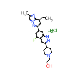 CCc1cc(-c2cc(F)c3cc(C4CCN(CCO)CC4)nnc3c2)nn2cc(C)nc12.Cl.Cl